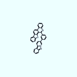 c1cc(-c2ccc3c4ccccc4nn3c2)cc(-c2nc3ccccc3c3ccc4c5ccccc5sc4c23)c1